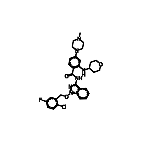 CN1CCN(c2ccc(C(=O)Nc3nn(OCc4cc(F)ccc4Cl)c4ccccc34)c(NC3CCOCC3)c2)CC1